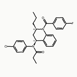 CCC[C@@H]1C[C@H](N(C(=O)CC)c2ccc(Cl)cc2)c2ccccc2N1C(=O)c1ccc(F)cc1